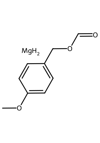 COc1ccc(COC=O)cc1.[MgH2]